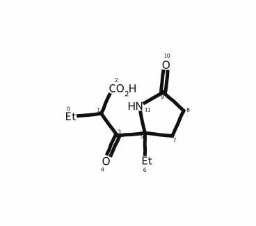 CCC(C(=O)O)C(=O)C1(CC)CCC(=O)N1